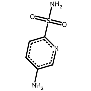 Nc1ccc(S(N)(=O)=O)nc1